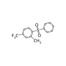 Cc1cc(C(F)(F)F)ccc1S(=O)(=O)c1ccccc1